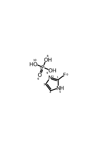 Fc1ncc[nH]1.O=P(O)(O)O